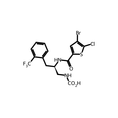 O=C(O)NC[C@@H](Cc1ccccc1C(F)(F)F)NC(=O)c1cc(Br)c(Cl)s1